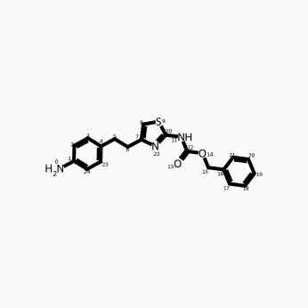 Nc1ccc(CCc2csc(NC(=O)OCc3ccccc3)n2)cc1